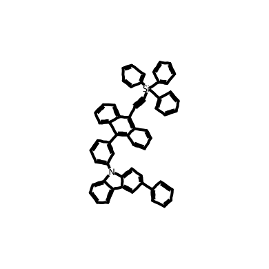 C(#C[Si](c1ccccc1)(c1ccccc1)c1ccccc1)c1c2ccccc2c(-c2cccc(-n3c4ccccc4c4cc(-c5ccccc5)ccc43)c2)c2ccccc12